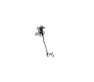 CCCCCCCCCCCCCCCCCCCCCC(=O)OC1C[C@@H](n2cc(Br)c(=O)[nH]c2=O)O[C@H]1CO